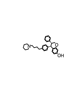 Oc1ccc2c(c1)OC[C@H](c1ccccc1)[C@@H]2c1ccc(CCCCN2CCCCC2)cc1